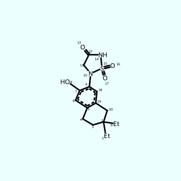 CCC1(CC)CCc2cc(O)c(N3CC(=O)NS3(=O)=O)cc2C1